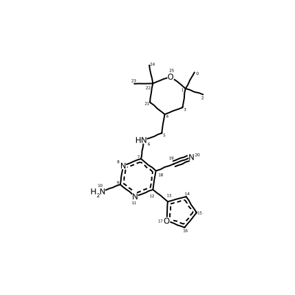 CC1(C)CC(CNc2nc(N)nc(-c3ccco3)c2C#N)CC(C)(C)O1